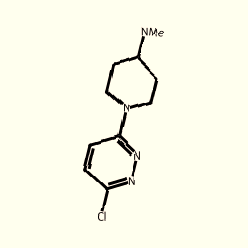 CNC1CCN(c2ccc(Cl)nn2)CC1